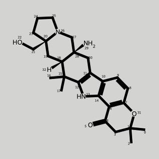 CC1(C)CC(=O)c2c(ccc3c4c([nH]c23)C(C)(C)[C@@H]2C[C@]3(CO)CCCN3C[C@]2(N)C4)O1